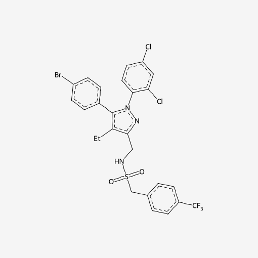 CCc1c(CNS(=O)(=O)Cc2ccc(C(F)(F)F)cc2)nn(-c2ccc(Cl)cc2Cl)c1-c1ccc(Br)cc1